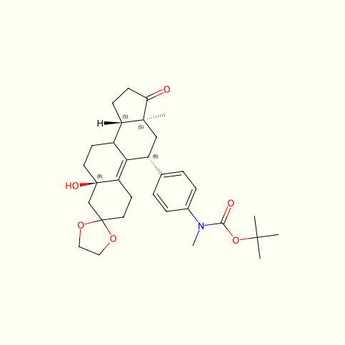 CN(C(=O)OC(C)(C)C)c1ccc([C@H]2C[C@]3(C)C(=O)CC[C@H]3C3CC[C@@]4(O)CC5(CCC4=C32)OCCO5)cc1